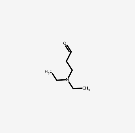 CCN(CC)CCC=O